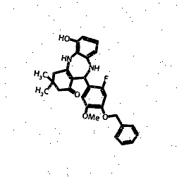 COc1cc(C2Nc3cccc(O)c3NC3=C2C(=O)CC(C)(C)C3)c(F)cc1OCc1ccccc1